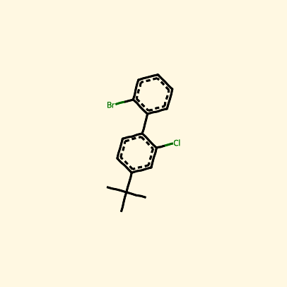 CC(C)(C)c1ccc(-c2ccccc2Br)c(Cl)c1